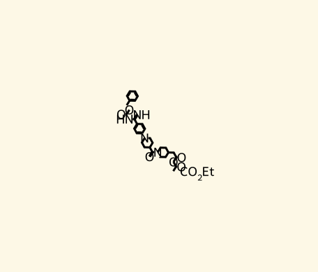 CCOC(=O)OC(C)OC(=O)CC1CCN(C(=O)C2CCN(c3ccc(C(=N)NC(=O)OCc4ccccc4)cc3)CC2)CC1